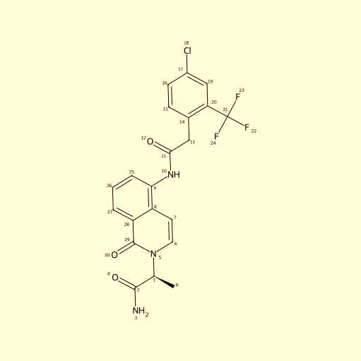 C[C@@H](C(N)=O)n1ccc2c(NC(=O)Cc3ccc(Cl)cc3C(F)(F)F)cccc2c1=O